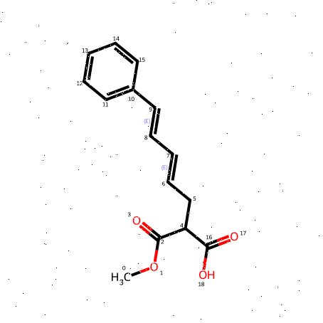 COC(=O)C(C/C=C/C=C/c1ccccc1)C(=O)O